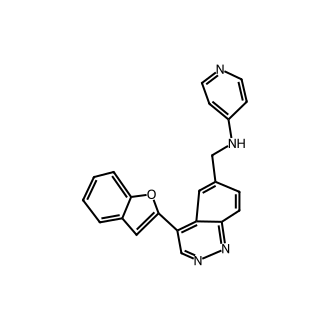 c1ccc2oc(-c3cnnc4ccc(CNc5ccncc5)cc34)cc2c1